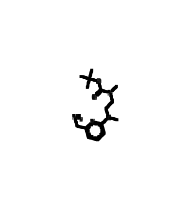 CN(CCN(C)c1cccc(CN)n1)C(=O)OC(C)(C)C